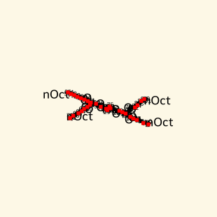 CCCCCCCC/C=C\CCCCCCCCOC(=O)CCN(CCCCC(=O)OCCN1CC(C)N(CCOC(=O)CCCCN(CCC(=O)OCCCCCCCC/C=C\CCCCCCCC)CCC(=O)OCCCCCCCC/C=C\CCCCCCCC)CC1C)CCC(=O)OCCCCCCCC/C=C\CCCCCCCC